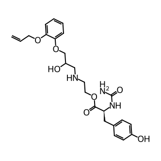 C=CCOc1ccccc1OCC(O)CNCCOC(=O)[C@H](Cc1ccc(O)cc1)NC(N)=O